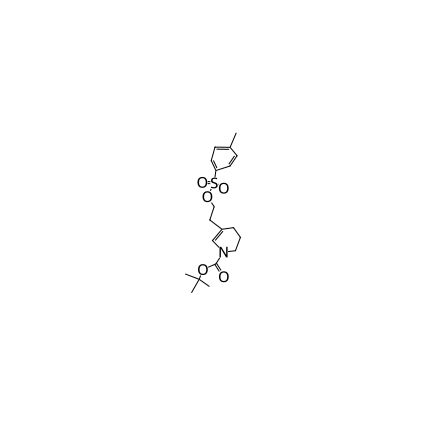 Cc1ccc(S(=O)(=O)OCCC2=CN(C(=O)OC(C)(C)C)CCC2)cc1